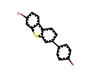 Brc1ccc2c(c1)sc1cc(-c3ccc(I)cc3)ccc12